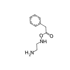 NCCNOC(=O)Cc1ccccc1